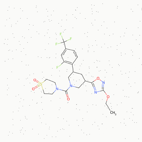 CCOc1noc(C2CC(c3ccc(C(F)(F)F)cc3F)CN(C(=O)N3CCS(=O)(=O)CC3)C2)n1